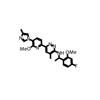 COc1cc(F)ccc1C(C)Nc1nnc(-c2ccc(-n3cnc(C)c3)c(OC)n2)cc1C